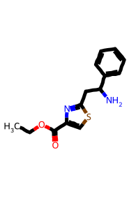 CCOC(=O)c1csc(CC(N)c2ccccc2)n1